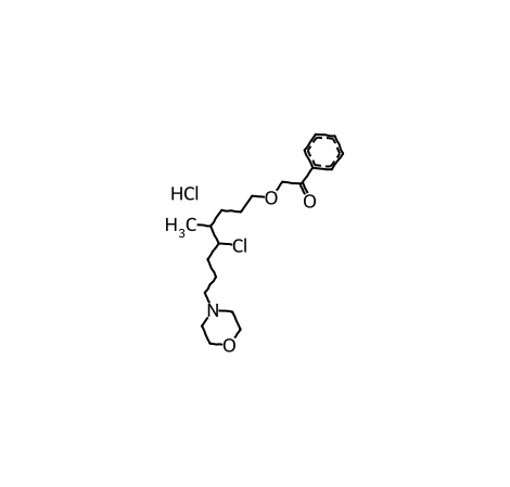 CC(CCCOCC(=O)c1ccccc1)C(Cl)CCCN1CCOCC1.Cl